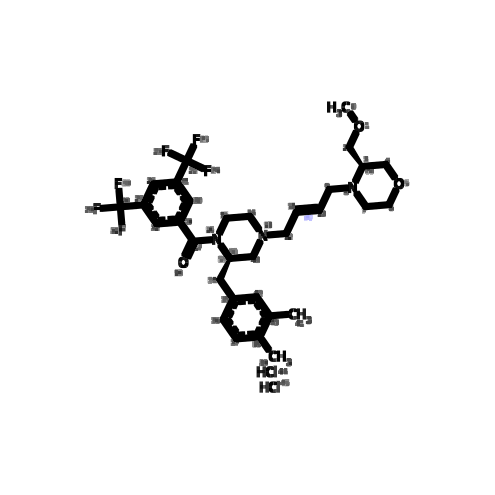 COC[C@H]1COCCN1C/C=C/CN1CCN(C(=O)c2cc(C(F)(F)F)cc(C(F)(F)F)c2)[C@H](Cc2ccc(C)c(C)c2)C1.Cl.Cl